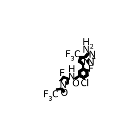 Nc1ncnn2c(-c3cc(C(=O)N[C@@H]4CN(C(=O)CC(F)(F)F)C[C@@H]4F)c(Cl)cc3F)cc(C(F)(F)F)c12